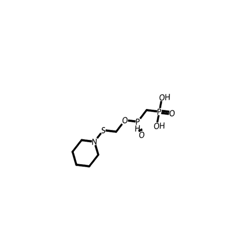 O=[PH](CP(=O)(O)O)OCSN1CCCCC1